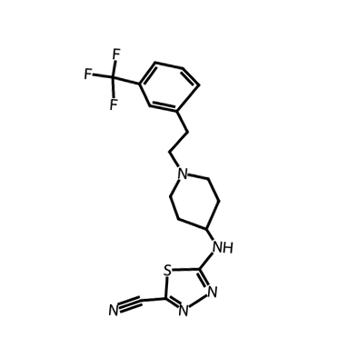 N#Cc1nnc(NC2CCN(CCc3cccc(C(F)(F)F)c3)CC2)s1